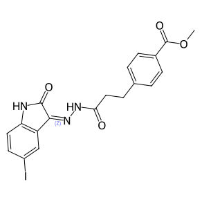 COC(=O)c1ccc(CCC(=O)N/N=C2\C(=O)Nc3ccc(I)cc32)cc1